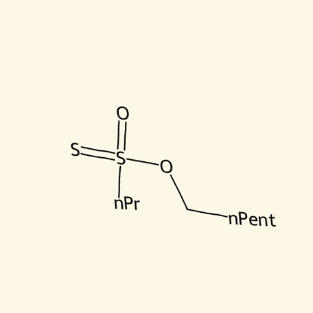 CCCCCCOS(=O)(=S)CCC